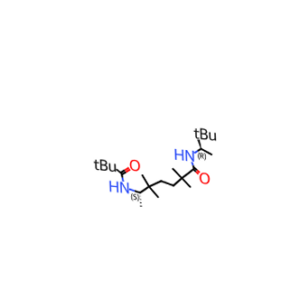 C[C@H](NC(=O)C(C)(C)C)C(C)(C)CCC(C)(C)C(=O)N[C@H](C)C(C)(C)C